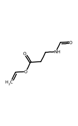 C=COC(=O)CCNC=O